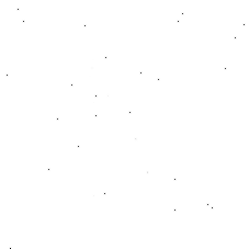 CCCC1(OC(=O)COC(=O)C(F)(F)S(=O)(=O)O)CCCCC1